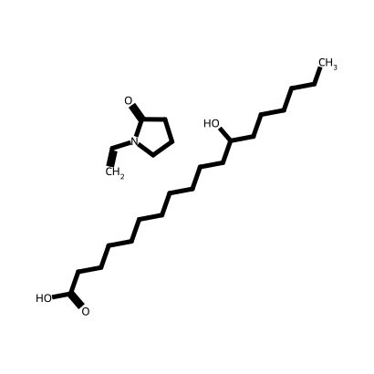 C=CN1CCCC1=O.CCCCCCC(O)CCCCCCCCCCC(=O)O